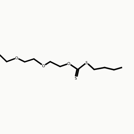 CCCCSC(=S)OCCOCCOCC